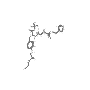 CCOC(=O)COc1ccc(C[C@H](NC(=O)CNC(=O)OCc2ccccc2)C(=O)OC(C)(C)C)cc1